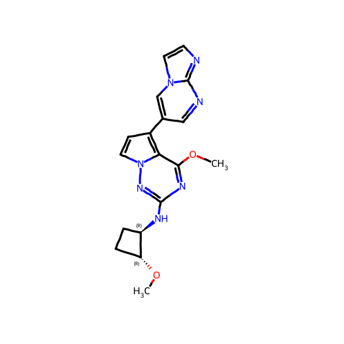 COc1nc(N[C@@H]2CC[C@H]2OC)nn2ccc(-c3cnc4nccn4c3)c12